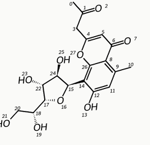 CC(=O)Cc1cc(=O)c2c(C)cc(O)c([C@H]3O[C@H]([C@H](O)CO)[C@H](O)[C@H]3O)c2o1